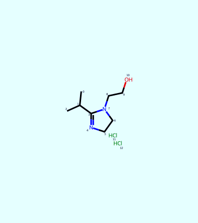 CC(C)C1=NCCN1CCO.Cl.Cl